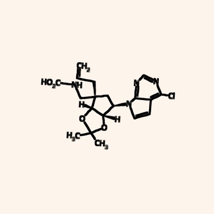 C=CC[C@@]1(CNC(=O)O)C[C@@H](n2ccc3c(Cl)ncnc32)[C@@H]2OC(C)(C)O[C@@H]21